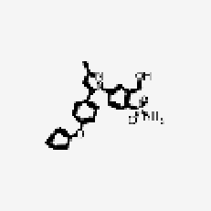 Cc1cc(-c2ccc(Oc3ccccc3)cc2)n(-c2ccc(S(N)(=O)=O)c(CO)c2)n1